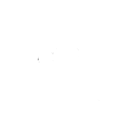 O=C(N[C@H]1c2ccccc2C[C@@H]1O)C(Cc1ccc(OCCN2CCOCC2)cc1)CC(O)C(Cc1ccccc1)NC(=O)C1CCCO1